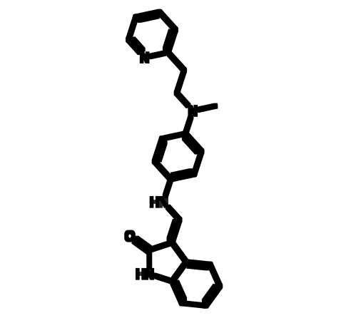 CN(CCc1ccccn1)c1ccc(NC=C2C(=O)Nc3ccccc32)cc1